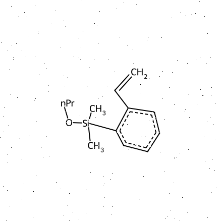 C=Cc1ccccc1[Si](C)(C)OCCC